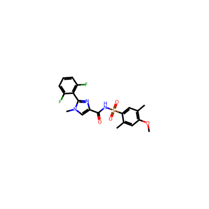 COc1cc(C)c(S(=O)(=O)NC(=O)c2cn(C)c(-c3c(F)cccc3F)n2)cc1C